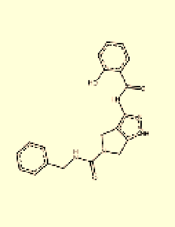 O=C(Nc1n[nH]c2c1CN(C(=O)NCc1ccccc1)C2)c1ccccc1O